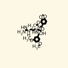 COc1cc(CN[C@](CCCNC(=N)N)(C(=O)O)N(Cc2ccc3c(c2)OCO3)C(C)=O)cc(OC)c1